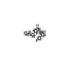 O=C(Nc1cncc(-c2ncc3[nH]nc(-c4nc5c(-c6ccc(F)cc6)cncc5[nH]4)c3c2F)c1)C1CCCC1